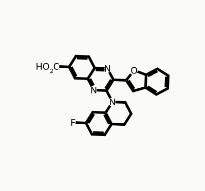 O=C(O)c1ccc2nc(-c3cc4ccccc4o3)c(N3CCCc4ccc(F)cc43)nc2c1